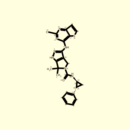 CC1(C)c2[nH]nc(Nc3nc(Cl)nc4ccsc34)c2CN1C(=O)N[C@H]1C[C@@H]1c1ccccc1